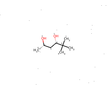 C[C@H](O)C[C@H](O)C(C)(C)C